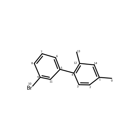 Cc1ccc(-c2cccc(Br)c2)c(C)c1